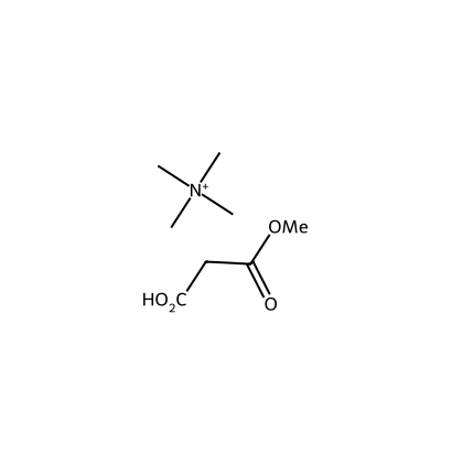 COC(=O)CC(=O)O.C[N+](C)(C)C